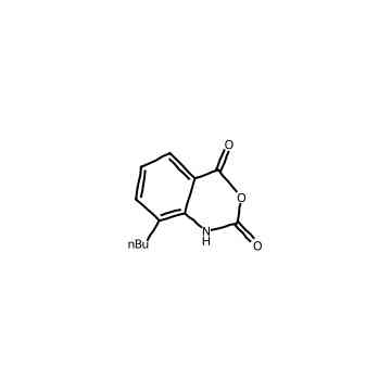 CCCCc1cccc2c(=O)oc(=O)[nH]c12